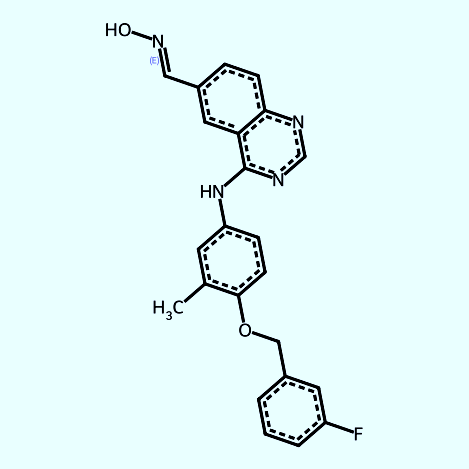 Cc1cc(Nc2ncnc3ccc(/C=N/O)cc23)ccc1OCc1cccc(F)c1